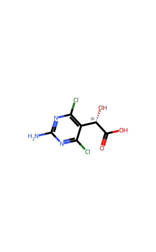 Nc1nc(Cl)c([C@H](O)C(=O)O)c(Cl)n1